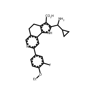 CCOc1ccc(-c2cc3c(cn2)CCc2c-3[nH]c(C(N)C3CC3)c2C(=O)O)cc1F